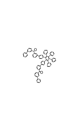 O=C(c1cccc(-c2ccccc2)c1)c1cccc(-c2ccc(-c3c(-c4ccccc4)c(-c4ccccc4)c(-c4ccccc4)c(-c4ccccc4)c3-c3ccc(-c4cccc(C(=O)c5cccc(-c6ccccc6)c5)c4)cc3)cc2)c1